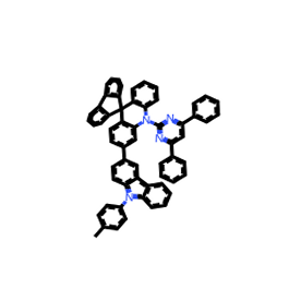 Cc1ccc(-n2c3ccccc3c3cc(-c4ccc5c(c4)N(c4nc(-c6ccccc6)cc(-c6ccccc6)n4)c4ccccc4C54c5ccccc5-c5ccccc54)ccc32)cc1